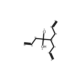 C=CCC(CC=C)C(O)(Cl)CC=C